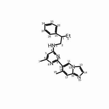 CCC(CNc1cc(C)nc(-c2cn3ccnc3cc2C)n1)c1ccccc1